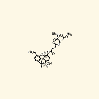 CN1CC[C@]23c4c5ccc(CO)c4O[C@H]2C(OC(=O)CCC(=O)O[C@@H](CC(=O)OC(C)(C)C)C(=O)OC(C)(C)C)=CC[C@@]3(O)[C@H]1C5